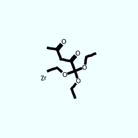 CCOC(OCC)(OCC)C(=O)CC(C)=O.[Zr]